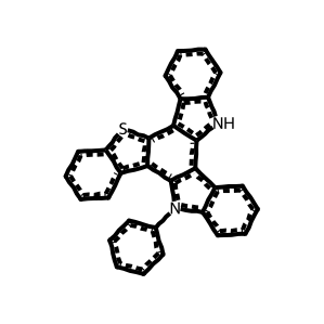 c1ccc(-n2c3ccccc3c3c4[nH]c5ccccc5c4c4sc5ccccc5c4c32)cc1